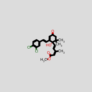 COC(=O)/C=C(C)\C=C\[C@@]1(O)C(/C=C/c2ccc(Cl)c(Cl)c2)=CC(=O)CC1(C)C